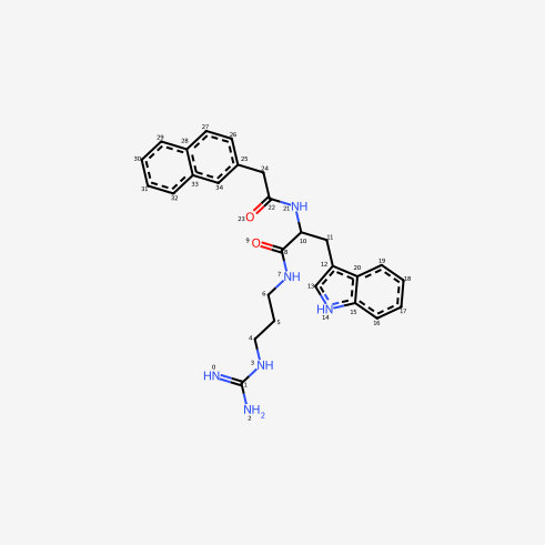 N=C(N)NCCCNC(=O)C(Cc1c[nH]c2ccccc12)NC(=O)Cc1ccc2ccccc2c1